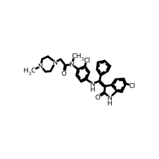 CN1CCN(CC(=O)N(C)c2ccc(N/C(=C3\C(=O)Nc4cc(Cl)ccc43)c3ccccc3)cc2Cl)CC1